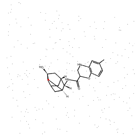 Cc1ccc2c(c1)NCC(C(=O)N[C@H]1[C@@H]3CC4C[C@H]1C[C@](O)(C4)C3)O2